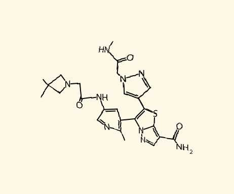 CNC(=O)Cn1cc(-c2sc3c(C(N)=O)cnn3c2-c2cc(NC(=O)CN3CC(C)(C)C3)cnc2C)cn1